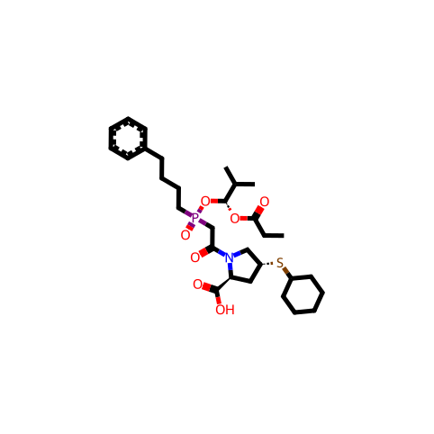 CCC(=O)O[C@H](OP(=O)(CCCCc1ccccc1)CC(=O)N1C[C@H](SC2CCCCC2)C[C@H]1C(=O)O)C(C)C